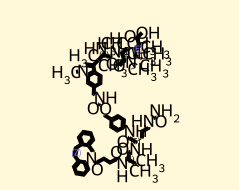 CN[C@H](C(=O)N[C@H](C(=O)N(C)[C@H](/C=C(\C)C(=O)O)C(C)C)C(C)(C)C)C(C)(C)c1cn(C)c2cc(CNC(=O)OCc3ccc(NC(=O)[C@H](CCCNC(N)=O)NC(=O)[C@@H](NC(=O)CCC(=O)N4Cc5ccccc5/C=C\c5ccccc54)C(C)C)cc3)ccc12